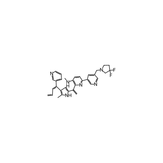 C=C/C=C(/c1cccnc1)c1cc(C(=C)c2nc(-c3cncc(CN4CCC(F)(F)C4)c3)ccc2NC)[nH]c1C